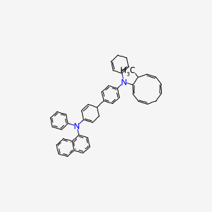 CC1/C=C\C=C/C/C=C\C=C/1N(C1=CCCC=C1)c1ccc(C2C=CC(N(c3ccccc3)c3cccc4ccccc34)=CC2)cc1